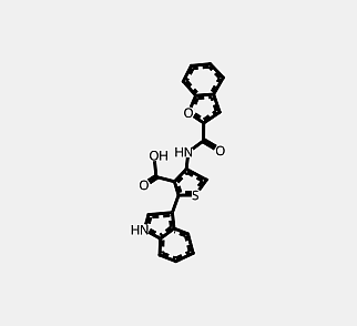 O=C(Nc1csc(-c2c[nH]c3ccccc23)c1C(=O)O)c1cc2ccccc2o1